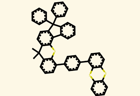 CC1(C)c2cccc(-c3ccc(-c4cccc5c4Sc4ccccc4S5)cc3)c2Sc2c1ccc1c2-c2ccccc2C1(c1ccccc1)c1ccccc1